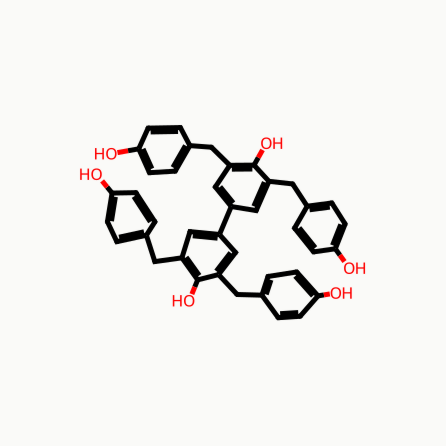 Oc1ccc(Cc2cc(-c3cc(Cc4ccc(O)cc4)c(O)c(Cc4ccc(O)cc4)c3)cc(Cc3ccc(O)cc3)c2O)cc1